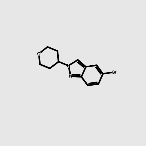 Brc1ccc2nn(C3CCOCC3)cc2c1